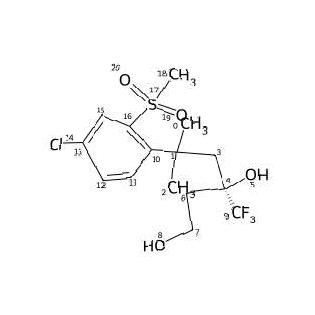 CC(C)(C[C@@](O)(CCO)C(F)(F)F)c1ccc(Cl)cc1S(C)(=O)=O